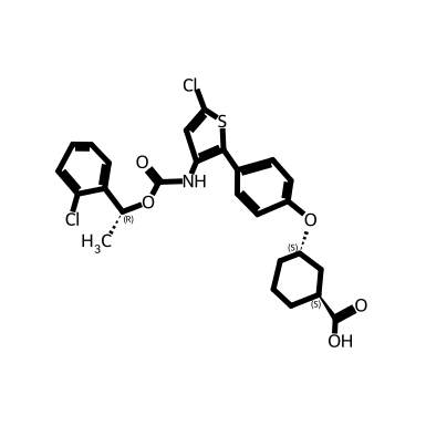 C[C@@H](OC(=O)Nc1cc(Cl)sc1-c1ccc(O[C@H]2CCC[C@H](C(=O)O)C2)cc1)c1ccccc1Cl